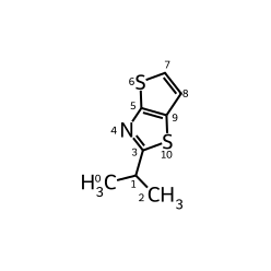 CC(C)c1nc2sccc2s1